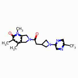 Cc1c2c(n(C)c(=O)c1C)CN(C(=O)CC1CN(c3cnc(C(F)(F)F)cn3)C1)C2